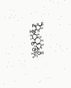 CC1(C)C[C@@]1(O)C(O)c1ccc2c(c1)C(=O)c1ccc(Nc3ccc(F)cc3F)cc1CC2